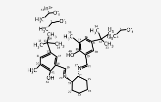 CC[O-].CC[O-].CC[O-].Cc1cc(C(C)(C)C)cc(C=N[C@@H]2CCCC[C@H]2N=Cc2cc(C(C)(C)C)cc(C)c2O)c1O.[In+3]